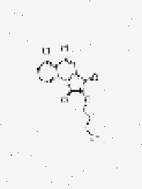 CCCCON1C(=O)c2cc(Cl)c3c(Cl)cccc3c2C1=O